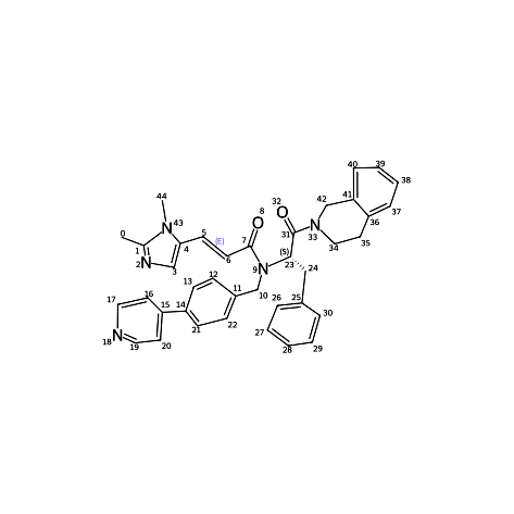 Cc1ncc(/C=C/C(=O)N(Cc2ccc(-c3ccncc3)cc2)[C@@H](Cc2ccccc2)C(=O)N2CCc3ccccc3C2)n1C